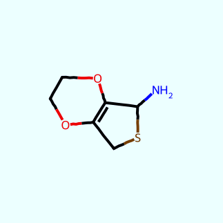 NC1SCC2=C1OCCO2